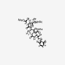 COC(=O)C[C@H](NC(=O)[C@H](C)NC(=O)[C@@H](NC(=O)[C@H](CC(=O)OC)NC(=O)[C@@H](NC(C)=O)C(C)C)C(C)C)C(=O)COc1c(F)cccc1F